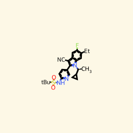 CCc1cc2c(cc1F)c(C#N)c(-c1ccc(NS(=O)(=O)C(C)(C)C)nc1)n2[C@@H](C)C1CC1